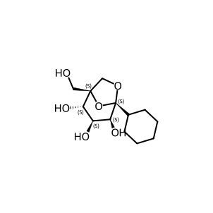 OC[C@@]12CO[C@@](C3CCCCC3)(O1)[C@@H](O)[C@@H](O)[C@@H]2O